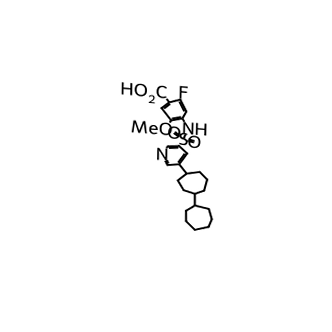 COc1cc(C(=O)O)c(F)cc1NS(=O)(=O)c1cncc(C2CCCC(C3CCCCCC3)CC2)c1